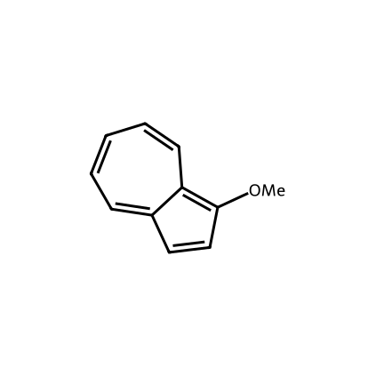 COc1ccc2cccccc1-2